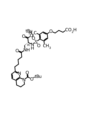 Cc1cc(OCCCC(=O)O)cc(C)c1S(=O)(=O)N[C@H](CNC(=O)CCCCc1ccc2c(n1)N(C(=O)OC(C)(C)C)CCC2)C(=O)OC(C)(C)C